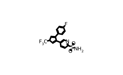 NS(=O)(=O)c1ccc(C2=CC(C(F)(F)F)C=C2c2ccc(F)cc2)cn1